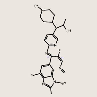 C=N/C=C(F)\C(=N/c1ccc(C(C(C)O)C2CCN(CC)CC2)cn1)c1cc(F)c2nc(C)n(C(C)C)c2c1